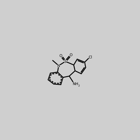 CN1c2ccccc2C(N)C2C=CC(Cl)=CC2S1(=O)=O